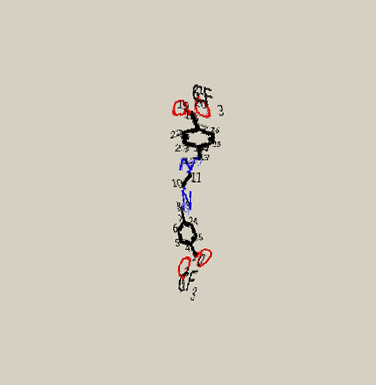 O=C(OC(F)(F)F)c1ccc(/C=N/CC/N=C/c2ccc(C(=O)OC(F)(F)F)cc2)cc1